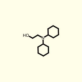 OCCN(C1CCCCC1)C1CCCCC1